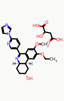 CCOc1cc2c(cc1OC)C(c1ccc(-n3ccnc3)nc1)=N[C@@H]1CC[C@@H](O)C[C@H]21.O=C(O)CC(O)C(=O)O